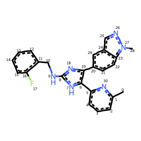 Cc1cccc(-c2[nH]c(NCc3ccccc3F)nc2-c2ccc3c(cnn3C)c2)n1